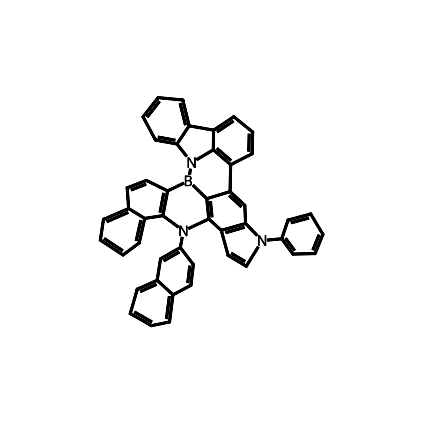 c1ccc(-n2ccc3c4c5c(cc32)-c2cccc3c6ccccc6n(c23)B5c2ccc3ccccc3c2N4c2ccc3ccccc3c2)cc1